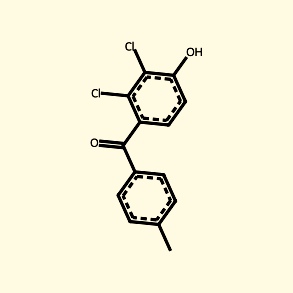 Cc1ccc(C(=O)c2ccc(O)c(Cl)c2Cl)cc1